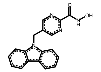 O=C(NO)c1ncc(Cn2c3ccccc3c3ccccc32)cn1